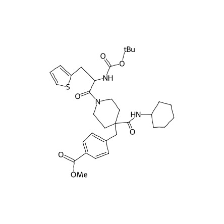 COC(=O)c1ccc(CC2(C(=O)NC3CCCCC3)CCN(C(=O)C(Cc3cccs3)NC(=O)OC(C)(C)C)CC2)cc1